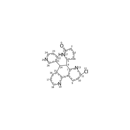 O=c1cccc(C(c2cccc(Cl)n2)C(c2cccnc2)c2cccnc2)[nH]1